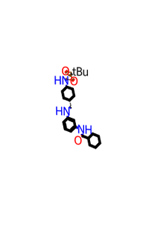 CC(C)(C)S(=O)(=O)N[C@H]1CC[C@H](CNc2cccc(NC(=O)C3CCCCC3)c2)CC1